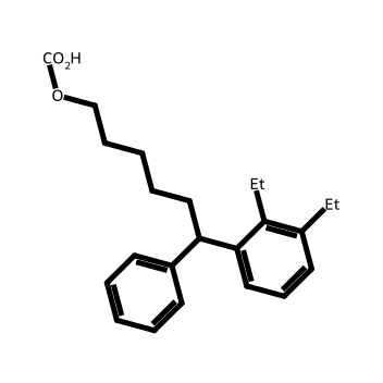 CCc1cccc(C(CCCCCOC(=O)O)c2ccccc2)c1CC